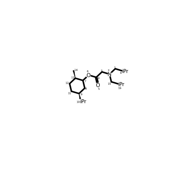 CC(C)CN(CC(=O)OC1C[C@@H](C(C)C)CC[C@H]1C)CC(C)C